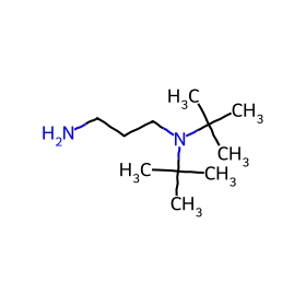 CC(C)(C)N(CCCN)C(C)(C)C